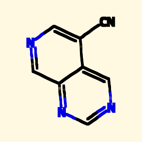 N#Cc1cncc2ncncc12